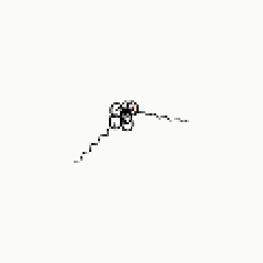 CCCCCCCCCCOC(=O)C12CCCCC1(C(=O)OCCCCCCCCCC)O2